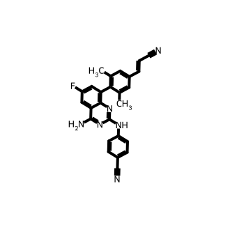 Cc1cc(/C=C/C#N)cc(C)c1-c1cc(F)cc2c(N)nc(Nc3ccc(C#N)cc3)nc12